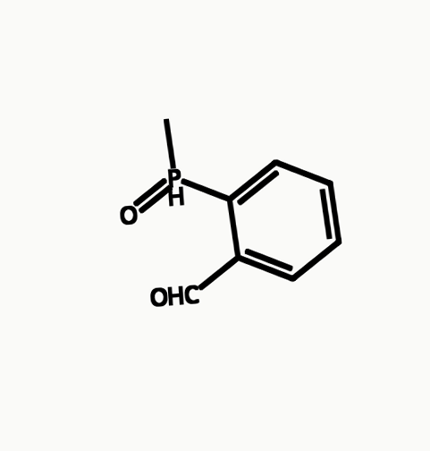 C[PH](=O)c1ccccc1C=O